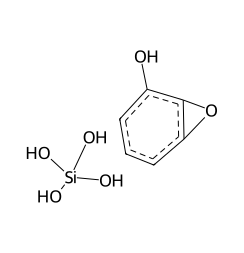 O[Si](O)(O)O.Oc1cccc2c1O2